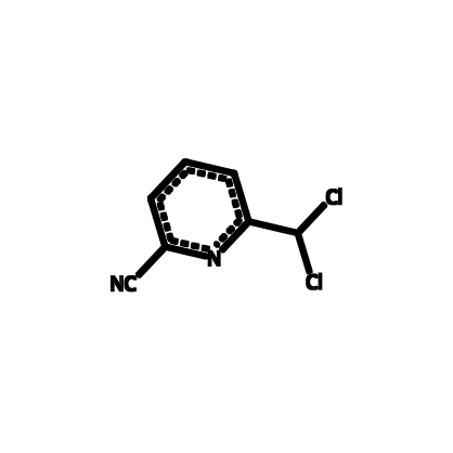 N#Cc1cccc(C(Cl)Cl)n1